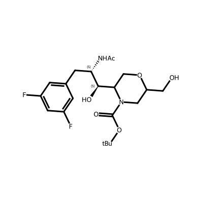 CC(=O)N[C@@H](Cc1cc(F)cc(F)c1)[C@H](O)C1COC(CO)CN1C(=O)OC(C)(C)C